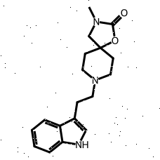 CN1CC2(CCN(CCc3c[nH]c4ccccc34)CC2)OC1=O